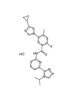 Cc1cc(F)c(C(=O)Nc2cccc(-c3nncn3C(C)C)n2)cc1-n1cnc(C2CC2)c1.Cl